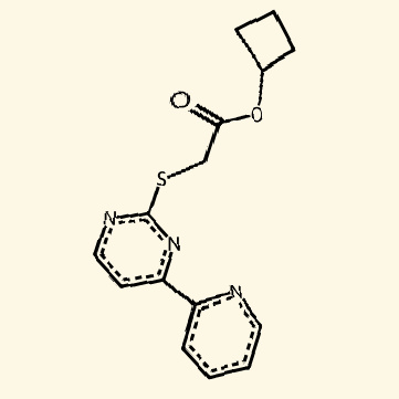 O=C(CSc1nccc(-c2ccccn2)n1)OC1CCC1